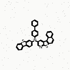 c1ccc(-c2ccc(N(c3ccc4c(c3)sc3ccccc34)c3cnc4sc5ccc6ccccc6c5c4c3)cc2)cc1